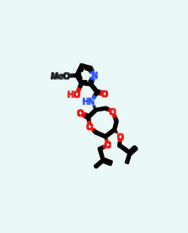 C=C(C)CO[C@H]1COC[C@@H](NC(=O)c2nccc(OC)c2O)C(=O)OC[C@@H]1OCC(=C)C